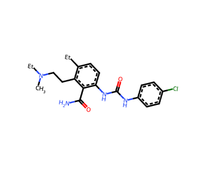 CCc1ccc(NC(=O)Nc2ccc(Cl)cc2)c(C(N)=O)c1CCN(C)CC